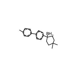 BC1(c2ccc(-c3ccc(C)cc3)cc2)CCC(C)(C)CC1